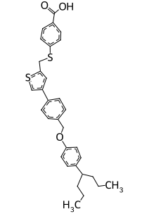 CCCC(CCC)c1ccc(OCc2ccc(-c3csc(CSc4ccc(C(=O)O)cc4)c3)cc2)cc1